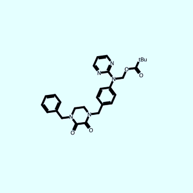 CC(C)(C)C(=O)OCN(c1ccc(CN2CCN(Cc3ccccc3)C(=O)C2=O)cc1)c1ncccn1